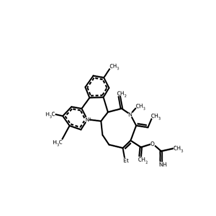 C=C(OC(C)=N)/C1=C(\CC)CCC2C(C(=C)N(C)\C1=C/C)c1cc(C)ccc1-c1cc(C)c(C)c[n+]12